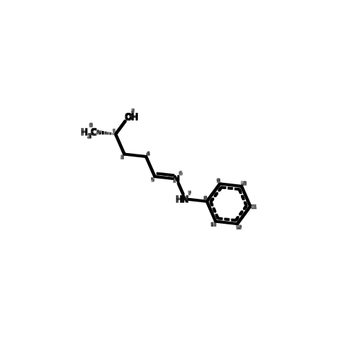 C[C@H](O)CC/C=N/Nc1ccccc1